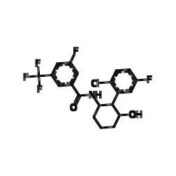 O=C(NC1CCCC(O)C1c1cc(F)ccc1Cl)c1cc(F)cc(C(F)(F)F)c1